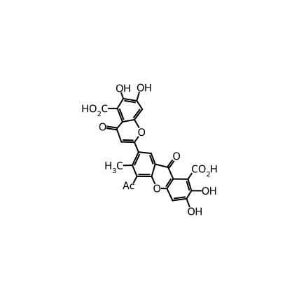 CC(=O)c1c(C)c(-c2cc(=O)c3c(C(=O)O)c(O)c(O)cc3o2)cc2c(=O)c3c(C(=O)O)c(O)c(O)cc3oc12